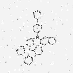 c1ccc(-c2ccc(N(c3cccc(C4(c5ccccc5)c5ccccc5-c5ccccc54)c3)c3ccc4ccccc4c3)cc2)cc1